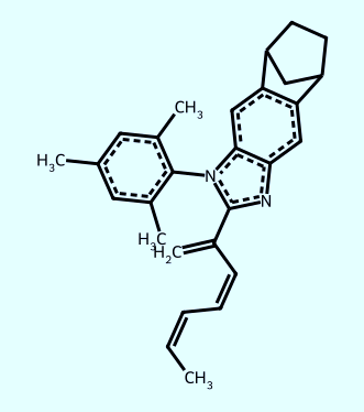 C=C(/C=C\C=C/C)c1nc2cc3c(cc2n1-c1c(C)cc(C)cc1C)C1CCC3C1